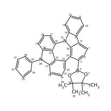 CC1(C)OB(c2ccc3c4ccccc4n4c5cccc6c5c5c(cccc5n6-c5ccccc5)c2c34)OC1(C)C